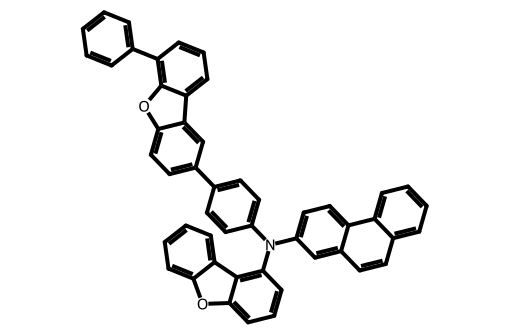 c1ccc(-c2cccc3c2oc2ccc(-c4ccc(N(c5ccc6c(ccc7ccccc76)c5)c5cccc6oc7ccccc7c56)cc4)cc23)cc1